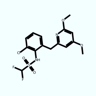 COc1cc(Cc2cccc(Cl)c2NS(=O)(=O)C(F)F)nc(OC)c1